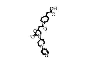 O=C(O)CC1CCN(C(=O)CC2CN(C3CCN(c4ccncc4)CC3)C(=O)O2)CC1